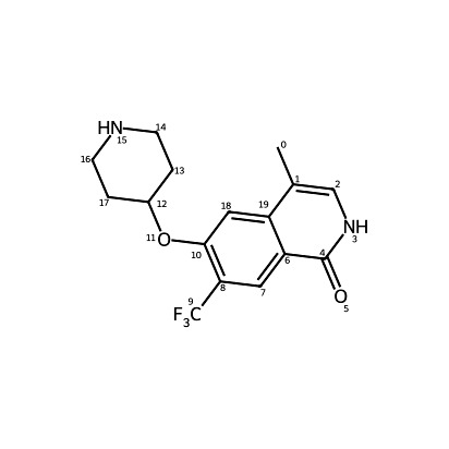 Cc1c[nH]c(=O)c2cc(C(F)(F)F)c(OC3CCNCC3)cc12